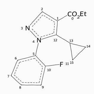 CCOC(=O)c1cnn(-c2ccccc2F)c1C1CC1